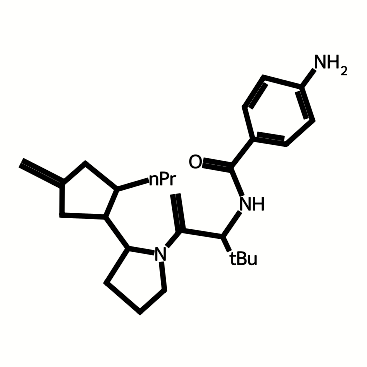 C=C1CC(CCC)C(C2CCCN2C(=C)C(NC(=O)c2ccc(N)cc2)C(C)(C)C)C1